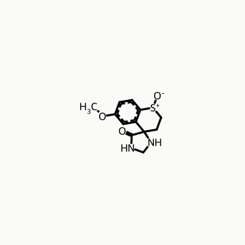 COc1ccc2c(c1)C1(CC[S+]2[O-])NCNC1=O